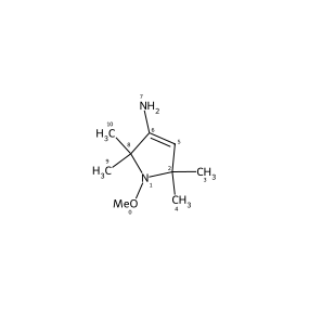 CON1C(C)(C)C=C(N)C1(C)C